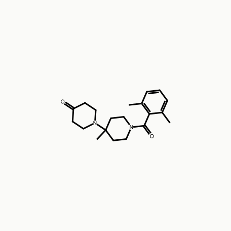 Cc1cccc(C)c1C(=O)N1CCC(C)(N2CCC(=O)CC2)CC1